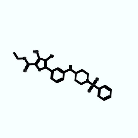 CCOC(=O)c1sc(-c2cccc(NC3CCN(S(=O)(=O)c4ccccc4)CC3)c2)c(Br)c1O